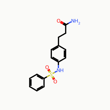 NC(=O)CCc1ccc(NS(=O)(=O)c2ccccc2)cc1